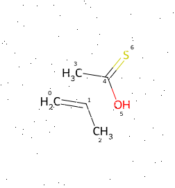 C=CC.CC(O)=S